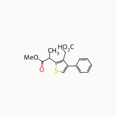 COC(=O)C(C)c1scc(-c2ccccc2)c1CC(=O)O